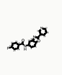 O=C(Nc1ccc2oc(-c3cccnc3)nc2c1)c1ccc(F)cc1